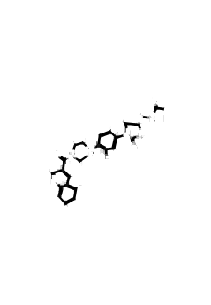 CC(=S)NC[C@H]1CN(c2ccc(N3CCN(C(=S)c4cnc5ccccc5c4)CC3)c(F)c2)C(=O)O1